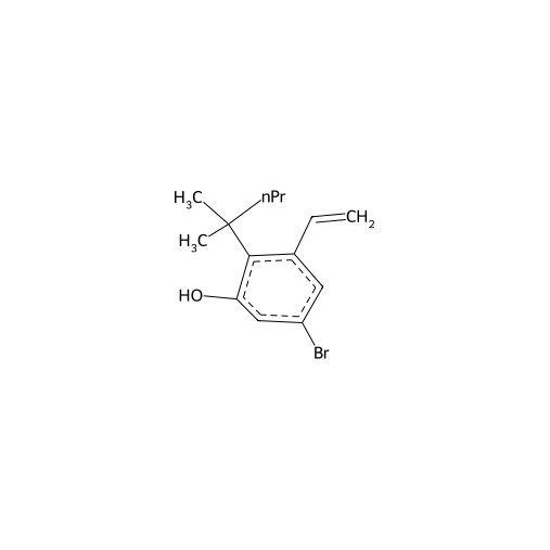 C=Cc1cc(Br)cc(O)c1C(C)(C)CCC